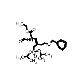 CCOC(=O)C(C=C(CCOCc1ccccc1)CP(=O)(OC(C)C)OC(C)C)NC=O